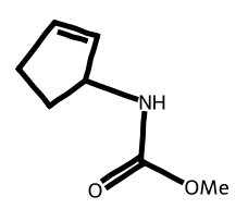 COC(=O)NC1C=CCC1